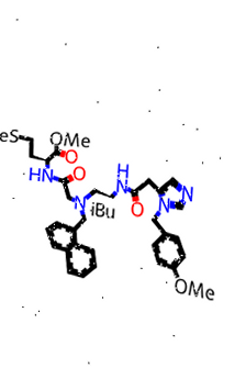 CC[C@H](C)[C@@H](CN(CC(=O)N[C@@H](CCSC)C(=O)OC)Cc1cccc2ccccc12)NC(=O)Cc1cncn1Cc1ccc(OC)cc1